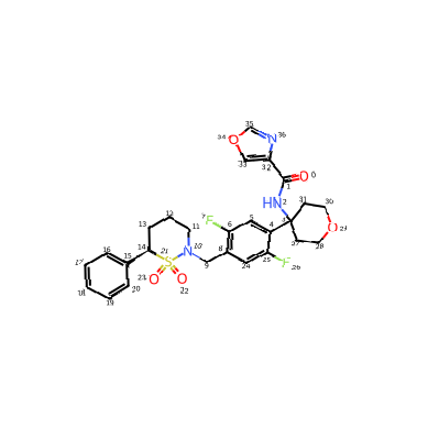 O=C(NC1(c2cc(F)c(CN3CCC[C@H](c4ccccc4)S3(=O)=O)cc2F)CCOCC1)c1cocn1